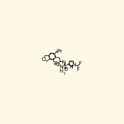 CC(C)c1cc2c(c(C(C)C)c1CC(=O)N=S(N)(=O)c1ccn(C(F)F)n1)COC2